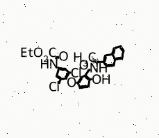 CCOC(=O)C(=O)Nc1cc(Cl)c(Oc2ccc(O)c(C(=O)N[C@H](C)c3ccc4ccccc4c3)c2)c(Cl)c1